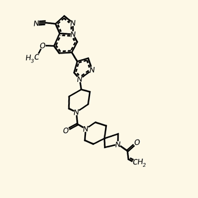 C=CC(=O)N1CC2(CCN(C(=O)N3CCC(n4cc(-c5cc(OC)c6c(C#N)cnn6c5)cn4)CC3)CC2)C1